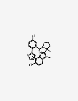 Cc1c(Cl)ccc2c1nc(C1(C)CCCN1C(=O)c1cc(Cl)ccc1-n1nccn1)n2C